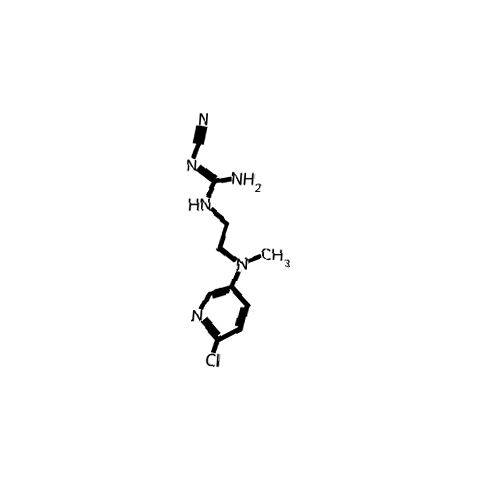 CN(CCN/C(N)=N/C#N)c1ccc(Cl)nc1